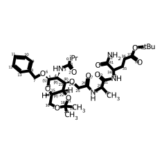 CC(C)C(=O)N[C@H]1[C@@H](OCc2ccccc2)O[C@@H]2COC(C)(C)O[C@H]2[C@@H]1OCC(=O)NC(C)C(=O)NC(CCC(=O)OC(C)(C)C)C(N)=O